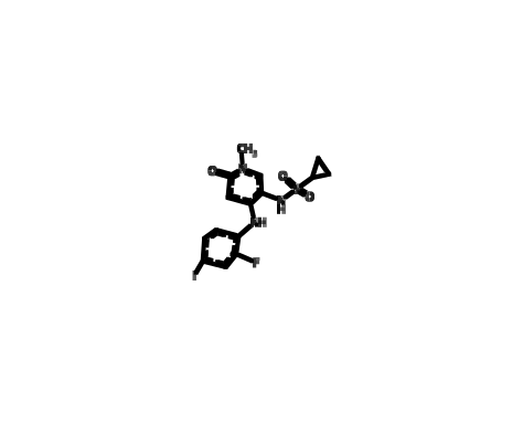 Cn1cc(NS(=O)(=O)C2CC2)c(Nc2ccc(I)cc2F)cc1=O